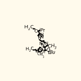 C=CCOC(c1cn(Cc2cc3nc(C)c(C(OC(C)(C)C)C(=O)O)c(N4CCC(C)(OCC=C)CC4)n3n2)nn1)C(C)C